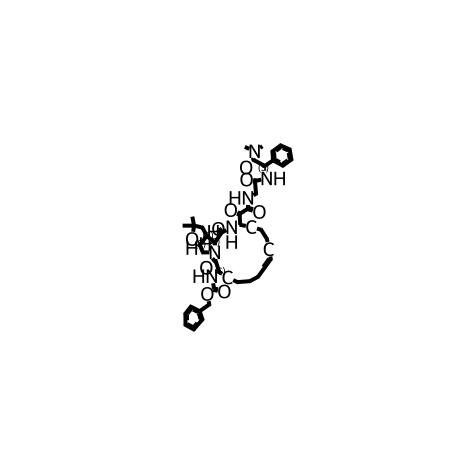 CN(C)C(=O)[C@@H](NC(=O)CNC(=O)C(=O)C1CCCCC=CCCCC[C@H](NC(=O)OCc2ccccc2)C(=O)N2C[C@@H]3OC(C)(C)C[C@@H]3[C@H]2C(=O)N1)c1ccccc1